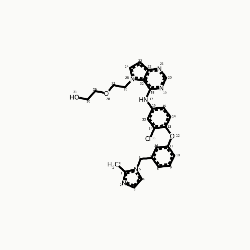 Cc1nccn1Cc1cccc(Oc2ccc(Nc3ncnc4ccn(CCOCCO)c34)cc2Cl)c1